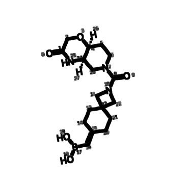 O=C1CO[C@H]2CCN(C(=O)N3CC4(CCC(=CB(O)O)CC4)C3)C[C@H]2N1